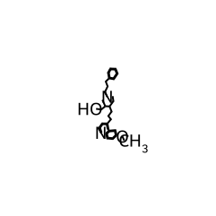 COc1ccc2nccc(CCCC3CCN(CCCc4ccccc4)CC3CO)c2c1